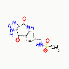 CS(=O)(=O)NCc1ccc2c(=O)c3[nH]nnc3c(=O)[nH]c2c1